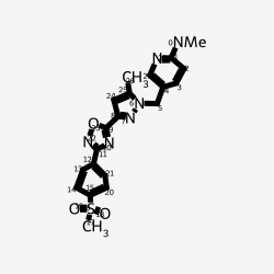 CNc1ccc(Cn2nc(-c3nc(-c4ccc(S(C)(=O)=O)cc4)no3)cc2C)cn1